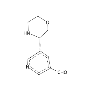 O=Cc1cncc([C@H]2COCCN2)c1